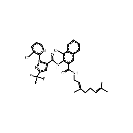 CC(C)=CCC/C(C)=C/CNC(=O)c1cc2ccccc2c(Cl)c1NC(=O)c1cc(C(F)(F)F)nn1-c1ncccc1Cl